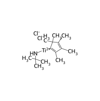 CC1=C(C)C(C)(C)[C]([Ti+2][NH]C(C)(C)C)=C1C.[Cl-].[Cl-]